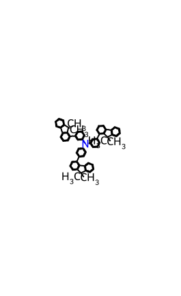 CC1(C)c2ccccc2-c2c(-c3ccc(N(c4cccc(-c5cccc6c5C(C)(C)c5ccccc5-6)c4)c4cccc(-c5cccc6c5C(C)(C)c5ccccc5-6)c4)cc3)cccc21